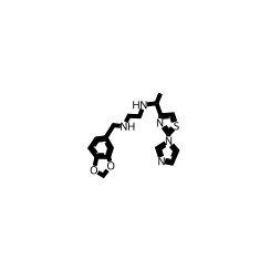 CC(NCCNCc1ccc2c(c1)OCO2)c1csc(-n2ccnc2)n1